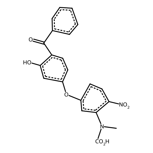 CN(C(=O)O)c1cc(Oc2ccc(C(=O)c3ccccc3)c(O)c2)ccc1[N+](=O)[O-]